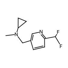 CN(Cc1ccc(C(F)F)nc1)C1CC1